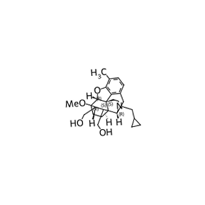 COC12CCC3([C@@H](CO)[C@@H]1CO)[C@H]1Cc4ccc(C)c5c4[C@@]3(CCN1CC1CC1)[C@H]2O5